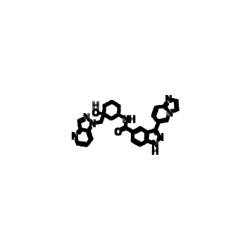 O=C(N[C@@H]1CCC[C@@](O)(Cn2ncc3ncccc32)C1)c1ccc2[nH]nc(-c3ccc4nccn4c3)c2c1